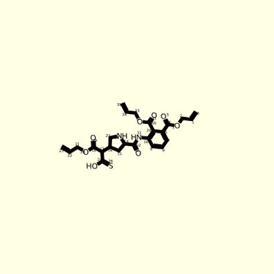 C=CCOC(=O)c1cccc(NC(=O)C2CC(C(C(=O)OCC=C)C(O)=S)CN2)c1C(=O)OCC=C